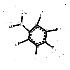 CCCP(CC)c1c(F)c(F)c(F)c(F)c1F